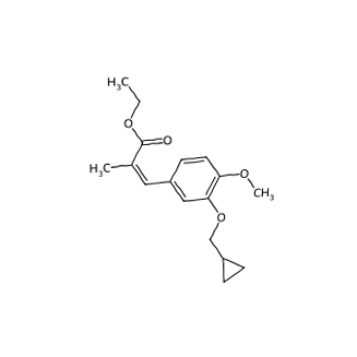 CCOC(=O)C(C)=Cc1ccc(OC)c(OCC2CC2)c1